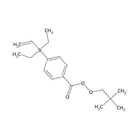 [CH2]C(C)(C)[CH]OOC(=O)c1ccc([Si](C=C)(CC)CC)cc1